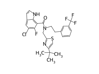 CC(C)(C)c1csc(CN(CCc2cccc(C(F)(F)F)c2)C(=O)c2c(F)c(Cl)cc3cc[nH]c23)n1